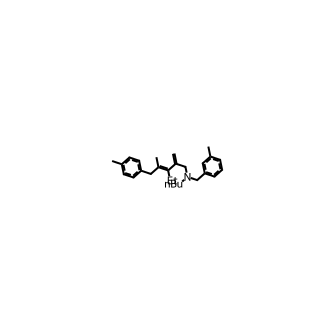 C=C(CN(CCCC)Cc1cccc(C)c1)/C(CC)=C(\C)Cc1ccc(C)cc1